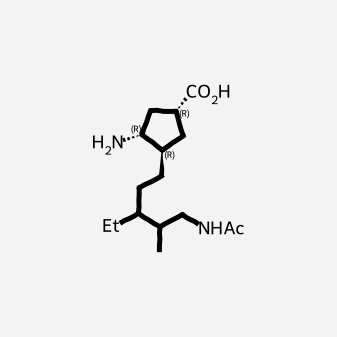 CCC(CC[C@@H]1C[C@@H](C(=O)O)C[C@H]1N)C(C)CNC(C)=O